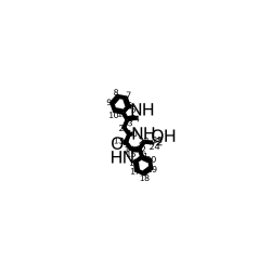 NC(Cc1c[nH]c2ccccc12)C(=O)c1[nH]c2ccccc2c1CCO